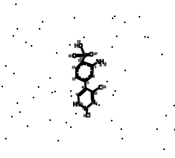 Nc1cc(C2=CNN(Cl)N=C2Cl)ccc1S(=O)(=O)O